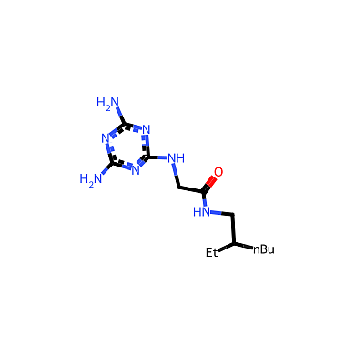 CCCCC(CC)CNC(=O)CNc1nc(N)nc(N)n1